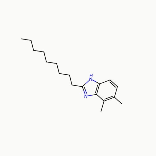 CCCCCCCCCc1nc2c(C)c(C)ccc2[nH]1